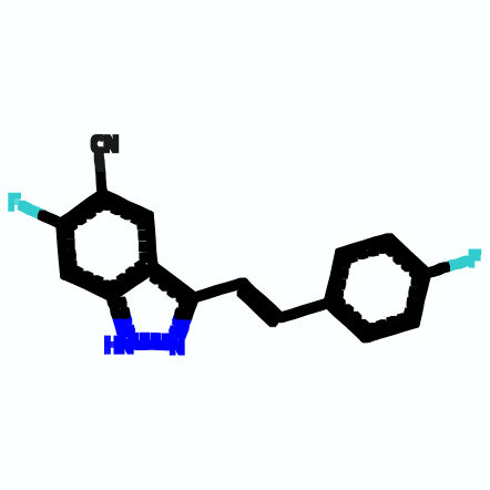 N#Cc1cc2c(C=Cc3ccc(F)cc3)n[nH]c2cc1F